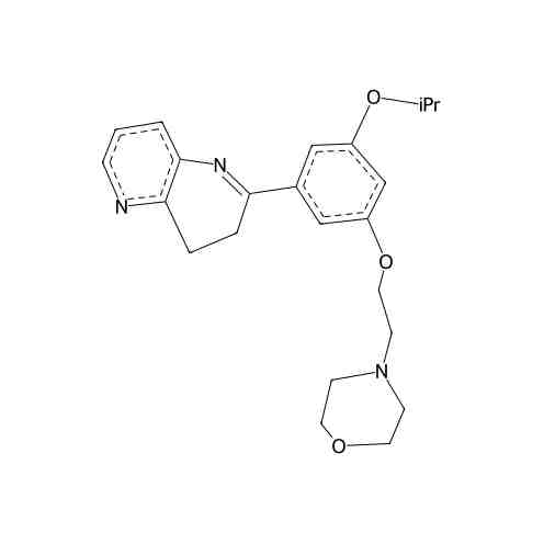 CC(C)Oc1cc(OCCN2CCOCC2)cc(C2=Nc3cccnc3CC2)c1